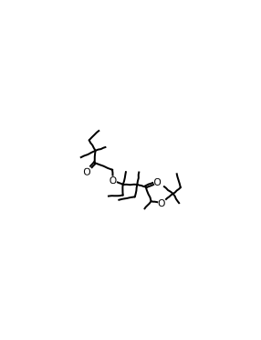 CCC(C)(C)OC(C)C(=O)C(C)(CC)C(C)(CC)OCC(=O)C(C)(C)CC